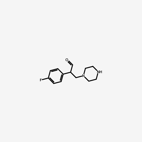 O=CC(CN1CCNCC1)c1ccc(F)cc1